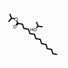 CC(C)O.CCCCCCCCCCCCCC(=O)OC(C)C